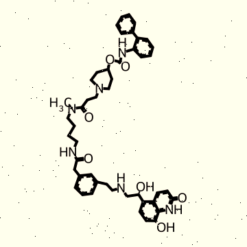 CN(CCCCNC(=O)Cc1cccc(CCNC[C@H](O)c2ccc(O)c3[nH]c(=O)ccc23)c1)C(=O)CCN1CCC(OC(=O)Nc2ccccc2-c2ccccc2)CC1